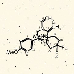 C=CN(CC(=C)c1ccc(OC)nc1)C(=C)C1(NC)CCC(F)(F)CC1